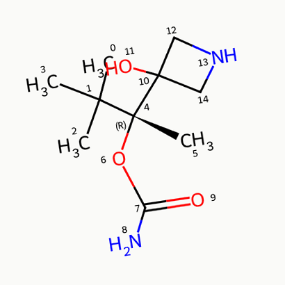 CC(C)(C)[C@@](C)(OC(N)=O)C1(O)CNC1